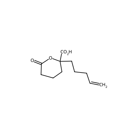 C=CCCCC1(C(=O)O)CCCC(=O)O1